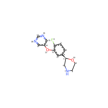 Fc1ccc([C@@H]2CNCCO2)cc1Oc1cncnc1